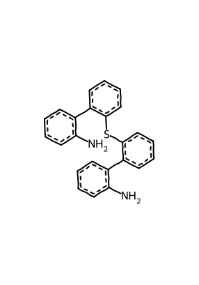 Nc1ccccc1-c1ccccc1Sc1ccccc1-c1ccccc1N